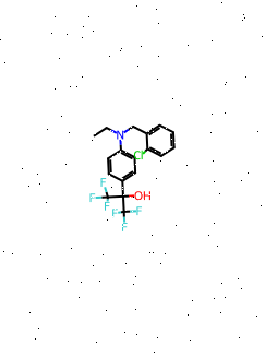 CCN(Cc1ccccc1Cl)c1ccc(C(O)(C(F)(F)F)C(F)(F)F)cc1